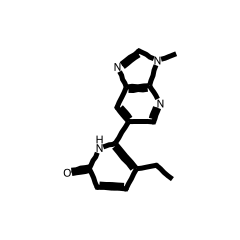 CCc1ccc(=O)[nH]c1-c1cnc2c(c1)ncn2C